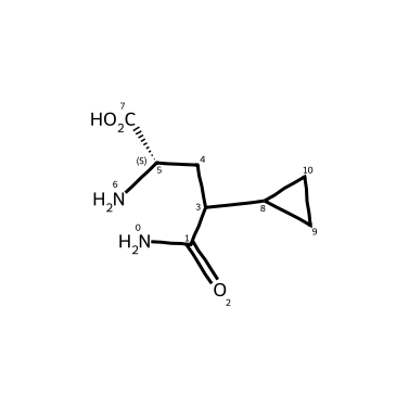 NC(=O)C(C[C@H](N)C(=O)O)C1CC1